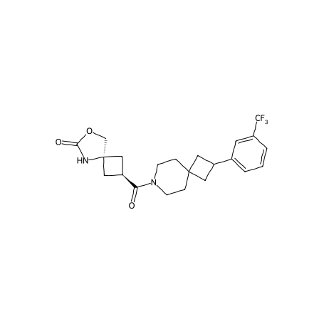 O=C1N[C@]2(CO1)C[C@H](C(=O)N1CCC3(CC1)CC(c1cccc(C(F)(F)F)c1)C3)C2